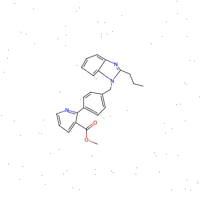 CCCc1nc2ccccc2n1Cc1ccc(-c2ncccc2C(=O)OC)cc1